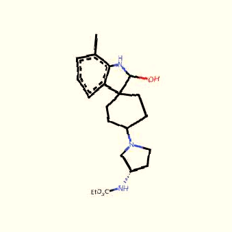 CCOC(=O)N[C@H]1CCN(C2CCC3(CC2)c2cccc(C)c2NC3O)C1